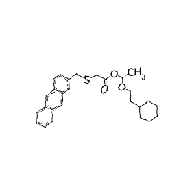 CC(OCCC1CCCCC1)OC(=O)CSCc1ccc2cc3ccccc3cc2c1